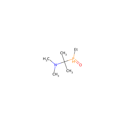 CC[PH](=O)C(C)(C)N(C)C